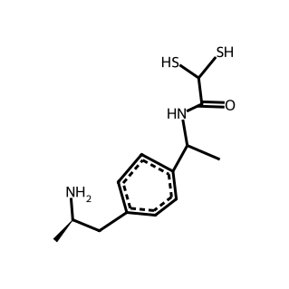 CC(NC(=O)C(S)S)c1ccc(C[C@@H](C)N)cc1